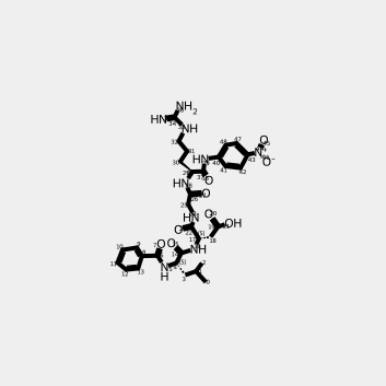 CC(C)C[C@H](NC(=O)c1ccccc1)C(=O)N[C@@H](CC(=O)O)C(=O)NCC(=O)N[C@@H](CCCNC(=N)N)C(=O)Nc1ccc([N+](=O)[O-])cc1